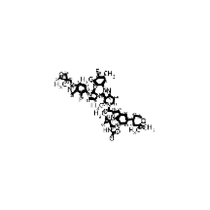 Cc1cc(-n2nc3c(c2-n2ccn(-c4ccc5c(cnn5CC5(C)COC5)c4F)c2=O)[C@H](C)N(C(=O)c2cc4cc(C5CCOC(C)(C)C5)ccc4n2[C@@]2(c4noc(=O)[nH]4)C[C@@H]2C)CC3)cc(C)c1F